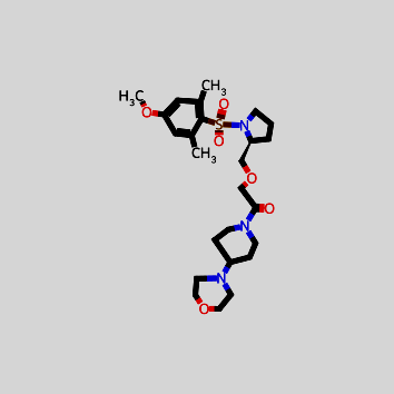 COc1cc(C)c(S(=O)(=O)N2CCC[C@H]2COCC(=O)N2CCC(N3CCOCC3)CC2)c(C)c1